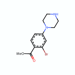 COC(=O)c1ccc(N2CCNCC2)cc1Br